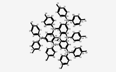 Cc1ccc(Nc2cc(N(c3ccc(C)cc3)c3ccc(C)cc3)cc3c2[Si]2(C)c4ccc(N(c5ccc(C)cc5)c5ccc(C)cc5)cc4N(c4ccc(C)cc4)c4cc(N(c5ccc(C)cc5)c5ccc(C)cc5)cc(c42)N3c2ccc(C)cc2)cc1